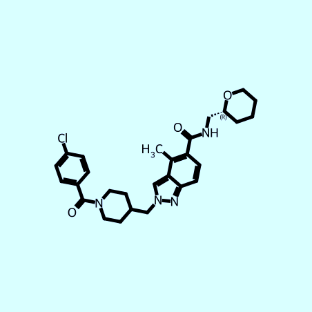 Cc1c(C(=O)NC[C@H]2CCCCO2)ccc2nn(CC3CCN(C(=O)c4ccc(Cl)cc4)CC3)cc12